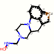 ONCN1CCN2c3cccc4scc(c34)CC2C1